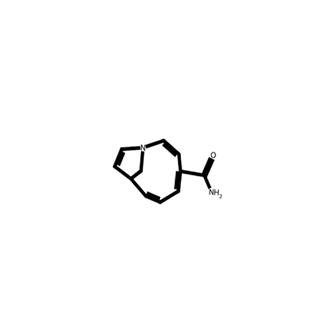 NC(=O)C1=CC=CC2C=CN(C=C1)C2